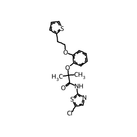 CC(C)(Oc1ccccc1OCCc1cccs1)C(=O)Nc1ncc(Cl)s1